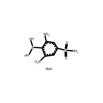 CCCN(CCC)c1c([N+](=O)[O-])cc(S(N)(=O)=O)cc1[N+](=O)[O-].[NaH]